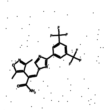 Cc1noc(C)c1/C(=C\n1cnc(-c2cc(C(F)(F)F)cc(C(F)(F)F)c2)n1)C(N)=O